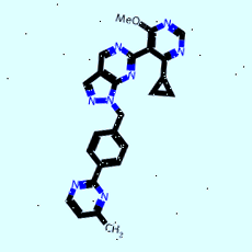 COc1ncnc(C2CC2)c1-c1ncc2cnn(Cc3ccc(-c4nccc(C)n4)cc3)c2n1